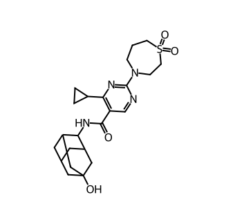 O=C(NC1C2CC3CC1CC(O)(C3)C2)c1cnc(N2CCCS(=O)(=O)CC2)nc1C1CC1